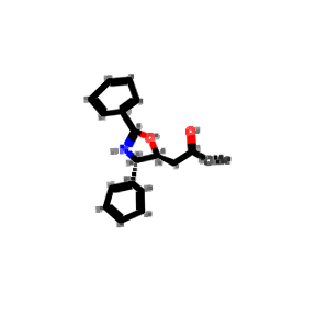 COC(=O)C[C@@H]1OC(c2ccccc2)=N[C@H]1c1ccccc1